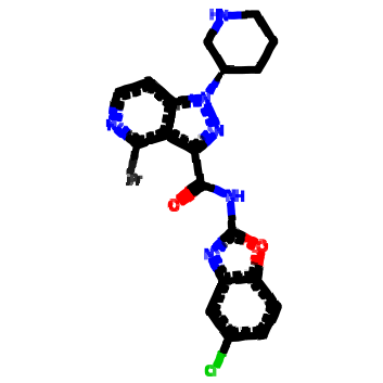 CC(C)c1nccc2c1c(C(=O)Nc1nc3cc(Cl)ccc3o1)nn2[C@@H]1CCCNC1